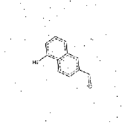 O=Cc1ccc2c(S)cccc2c1